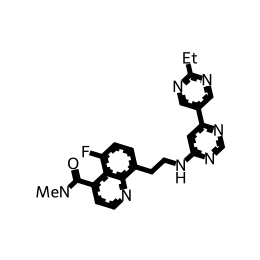 CCc1ncc(-c2cc(NCCc3ccc(F)c4c(C(=O)NC)ccnc34)ncn2)cn1